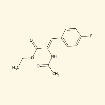 CCOC(=O)/C(=C/c1ccc(F)cc1)NC(C)=O